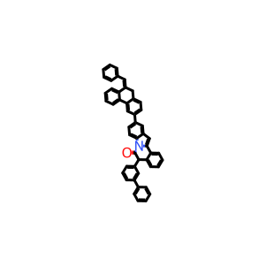 O=C1C(c2cccc(-c3ccccc3)c2)c2ccccc2-c2cc3cc(-c4ccc5c(c4)-c4ccccc4/C(=C\c4ccccc4)C5)ccc3n21